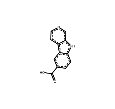 O=C(O)c1ccc2[nH]c3cnccc3c2c1